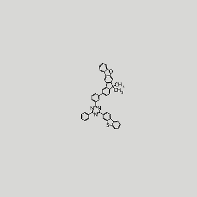 CC1(C)c2ccc(-c3cccc(-c4nc(-c5ccccc5)nc(-c5ccc6c(c5)sc5ccccc56)n4)c3)cc2-c2cc3c(cc21)oc1ccccc13